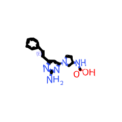 Nc1nc(/C=C/c2ccccc2)cc(N2CCC(NC(=O)O)C2)n1